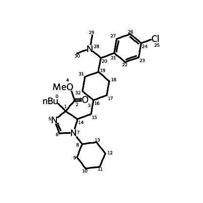 CCCCC1(C(=O)OC)N=CN(C2CCCCC2)C1CC1CCC(C(c2ccc(Cl)cc2)N(C)C)CC1